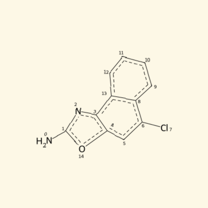 Nc1nc2c(cc(Cl)c3ccccc32)o1